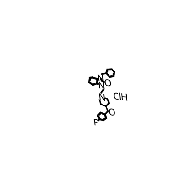 Cl.O=C(c1ccc(F)cc1)C1CCN(CCn2c(=O)n(Cc3ccccc3)c3ccccc32)CC1